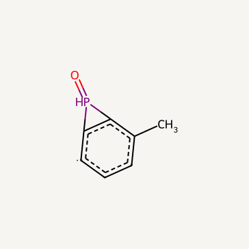 Cc1cc[c]c2c1[PH]2=O